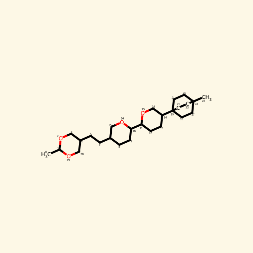 CC1OCC(CCC2CCC(C3CCC(C45CCC(C)(CC4)CC5)CO3)OC2)CO1